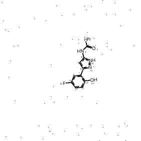 CCCC(=O)Nc1cc(-c2cc(F)ccc2O)n[nH]1